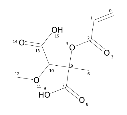 C=CC(=O)OC(C)(C(=O)O)C(OC)C(=O)O